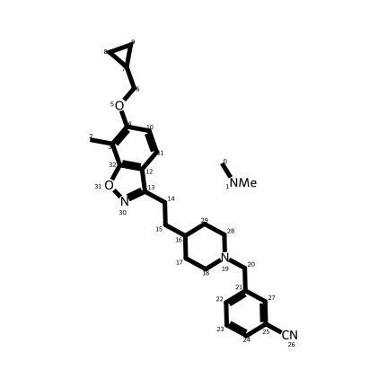 CNC.Cc1c(OCC2CC2)ccc2c(CCC3CCN(Cc4cccc(C#N)c4)CC3)noc12